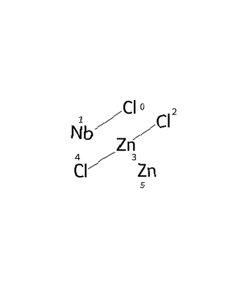 [Cl][Nb].[Cl][Zn][Cl].[Zn]